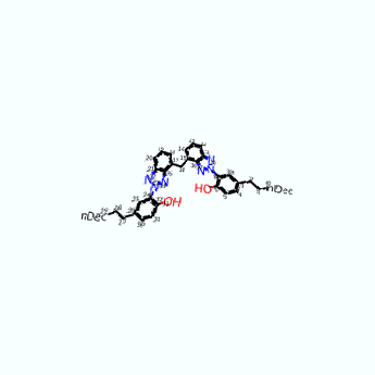 CCCCCCCCCCCCc1ccc(O)c(-n2nc3cccc(Cc4cccc5nn(-c6cc(CCCCCCCCCCCC)ccc6O)nc45)c3n2)c1